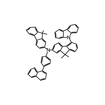 CC1(C)c2ccccc2-c2ccc(N(c3ccc(-c4cccc5ccccc45)cc3)c3ccc4c(c3)C(C)(C)c3cccc(-n5c6ccccc6c6ccccc65)c3-4)cc21